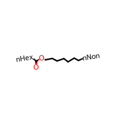 CCCCCCCCCCCCCCCCOC(=O)CCCCCC